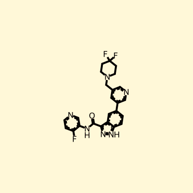 O=C(Nc1cnccc1F)c1n[nH]c2ccc(-c3cncc(CN4CCC(F)(F)CC4)c3)cc12